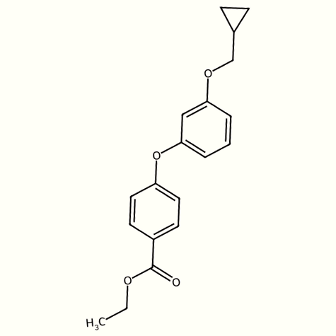 CCOC(=O)c1ccc(Oc2cccc(OCC3CC3)c2)cc1